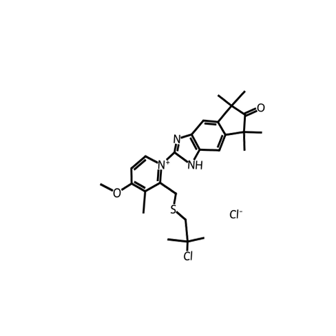 COc1cc[n+](-c2nc3cc4c(cc3[nH]2)C(C)(C)C(=O)C4(C)C)c(CSCC(C)(C)Cl)c1C.[Cl-]